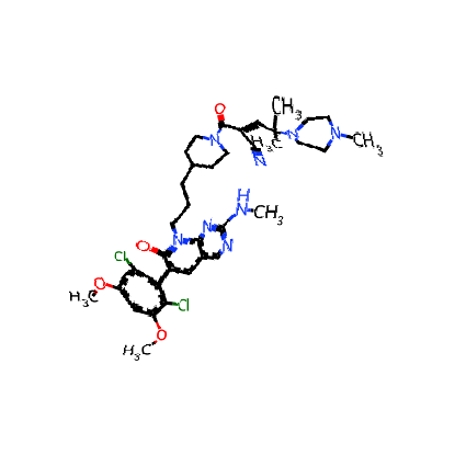 CNc1ncc2cc(-c3c(Cl)c(OC)cc(OC)c3Cl)c(=O)n(CCCC3CCN(C(=O)C(C#N)=CC(C)(C)N4CCN(C)CC4)CC3)c2n1